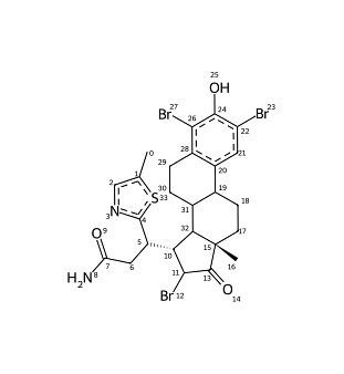 Cc1cnc(C(CC(N)=O)[C@H]2C(Br)C(=O)[C@@]3(C)CCC4c5cc(Br)c(O)c(Br)c5CCC4C23)s1